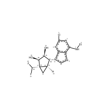 CCNc1nc(Cl)nc2c1ncn2[C@H]1[C@H](O)[C@H](O)[C@]2(C(F)F)C[C@H]12